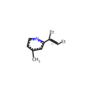 CC/C=C(\CC)c1cc(C)ccn1